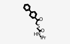 CC(C)NC(=O)CSCC(=O)c1ccc(-c2ccccc2)cc1